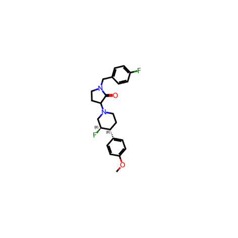 COc1ccc([C@H]2CCN(C3CCN(Cc4ccc(F)cc4)C3=O)C[C@@H]2F)cc1